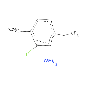 N.O=Cc1ccc(C(F)(F)F)cc1F